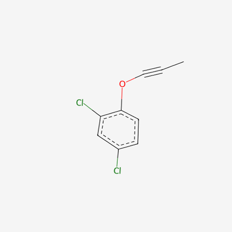 CC#COc1ccc(Cl)cc1Cl